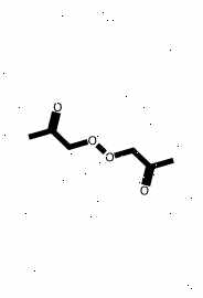 CC(=O)COOCC(C)=O